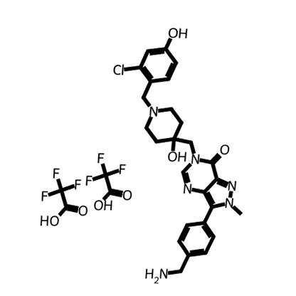 Cn1nc2c(=O)n(CC3(O)CCN(Cc4ccc(O)cc4Cl)CC3)cnc2c1-c1ccc(CN)cc1.O=C(O)C(F)(F)F.O=C(O)C(F)(F)F